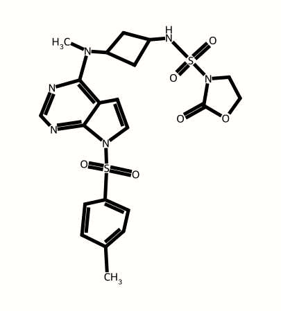 Cc1ccc(S(=O)(=O)n2ccc3c(N(C)C4CC(NS(=O)(=O)N5CCOC5=O)C4)ncnc32)cc1